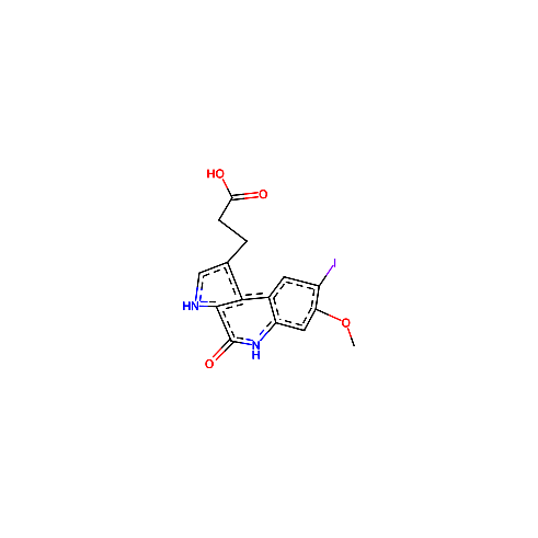 COc1cc2[nH]c(=O)c3[nH]cc(CCC(=O)O)c3c2cc1I